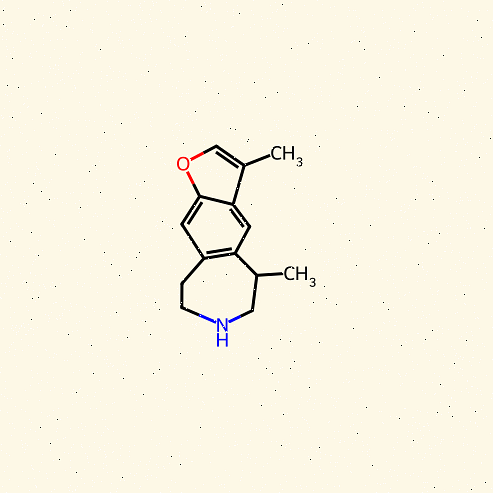 Cc1coc2cc3c(cc12)C(C)CNCC3